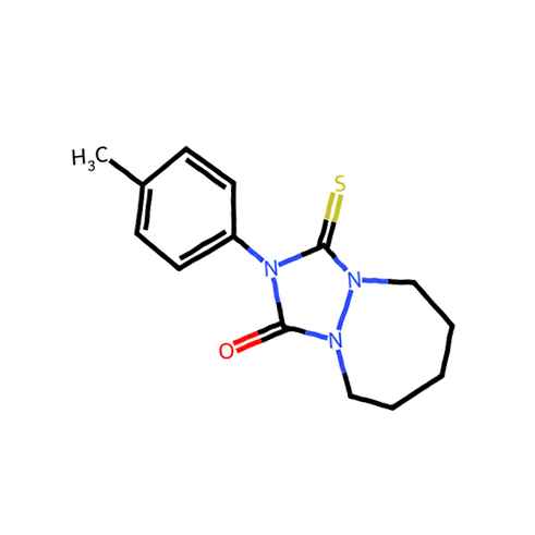 Cc1ccc(-n2c(=O)n3n(c2=S)CCCCC3)cc1